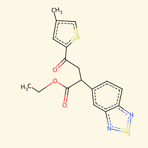 CCOC(=O)C(CC(=O)c1cc(C)cs1)c1ccc2nsnc2c1